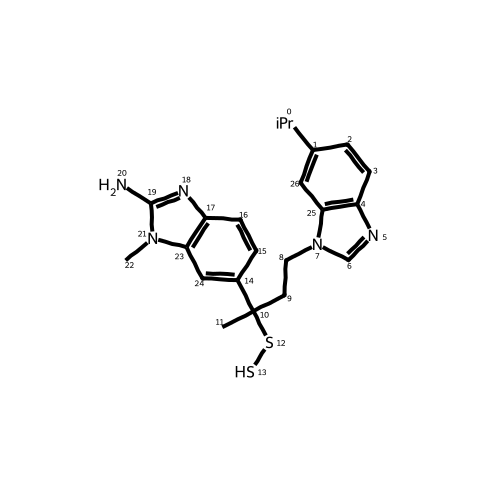 CC(C)c1ccc2ncn(CCC(C)(SS)c3ccc4nc(N)n(C)c4c3)c2c1